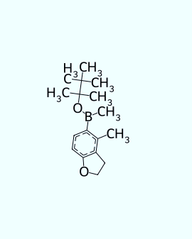 CB(OC(C)(C)C(C)(C)C)c1ccc2c(c1C)CCO2